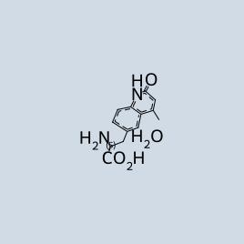 Cc1cc(=O)[nH]c2ccc(C[C@H](N)C(=O)O)cc12.O